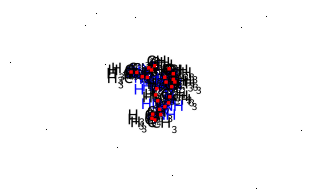 CN1C(C)(C)CC(Nc2nc(NCCCCC(CCCNc3nc(NC4CC(C)(C)N(C)C(C)(C)C4)nc(NC4CC(C)(C)N(C)C(C)(C)C4)n3)CNc3nc(NC4CCN(C)C(C)(C)C4(C)C)nc(NC4CCN(C)C(C)(C)C4(C)C)n3)nc(NC3CC(C)(C)N(C)C(C)(C)C3)n2)CC1(C)C